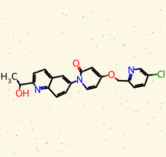 CC(O)c1ccc2cc(-n3ccc(OCc4ccc(Cl)cn4)cc3=O)ccc2n1